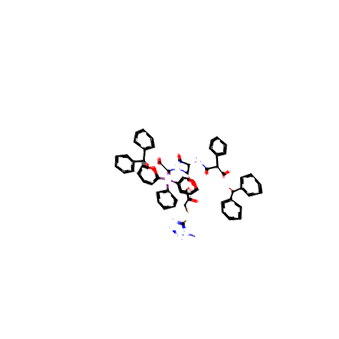 Cn1nnnc1SCC(=O)CO[C@@H]1[C@H](NC(=O)C(C(=O)OC(c2ccccc2)c2ccccc2)c2ccccc2)C(=O)N1C(C(=O)OC(c1ccccc1)c1ccccc1)=P(c1ccccc1)(c1ccccc1)c1ccccc1